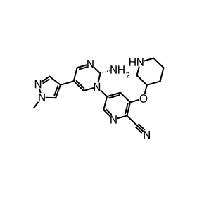 Cn1cc(C2=CN(c3cnc(C#N)c(OC4CCCNC4)c3)[C@@H](N)N=C2)cn1